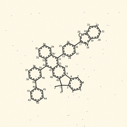 CC1(C)c2ccccc2-c2cc3c(-c4ccc(-c5nc6ccccc6o5)cc4)c4ccccc4c(-c4cccc(-c5ccccc5)c4)c3cc21